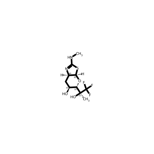 CNC1=N[C@@H]2C[C@H](O)[C@@H]([C@](C)(O)C(F)(F)F)O[C@@H]2S1